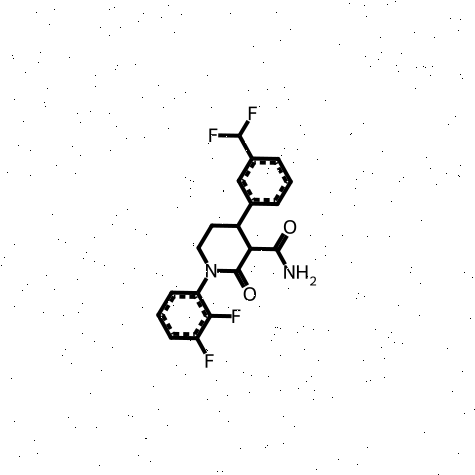 NC(=O)C1C(=O)N(c2cccc(F)c2F)CCC1c1cccc(C(F)F)c1